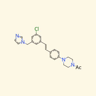 CC(=O)N1CCN(c2ccc(/C=C/c3cc(Cl)cc(Cn4ccnc4)c3)cc2)CC1